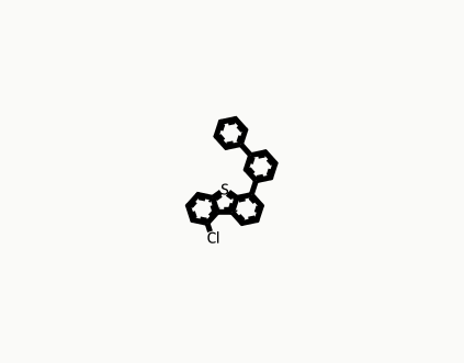 Clc1cccc2sc3c(-c4cccc(-c5ccccc5)c4)cccc3c12